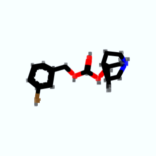 O=C(OCc1cccc(Br)c1)O[C@H]1CN2CCC1CC2